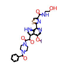 O=C(NCCO)c1csc(-c2ncc(OI)c3c(C(=O)C(=O)N4CCN(C(=O)c5ccccc5)CC4)c[nH]c23)n1